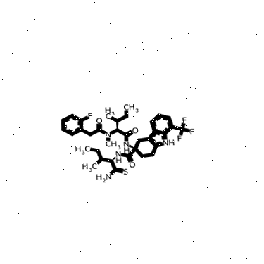 CCC(C)[C@H](NC(=O)[C@@]1(NC(=O)[C@H](C(C)CC)N(C)C(=O)Cc2ccccc2F)CCc2[nH]c3c(C(F)(F)F)cccc3c2C1)C(N)=S